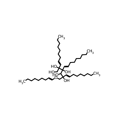 CCCCCCCC=COCC(O)(C=CCCCCCCC)C(O)C(O)(C=CCCCCCCC)C(O)(C=CCCCCCCC)CO